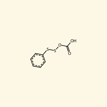 O=C(O)OSSc1ccccc1